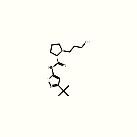 CC(C)(C)c1cc(NC(=O)[C@@H]2CCCN2CCCO)on1